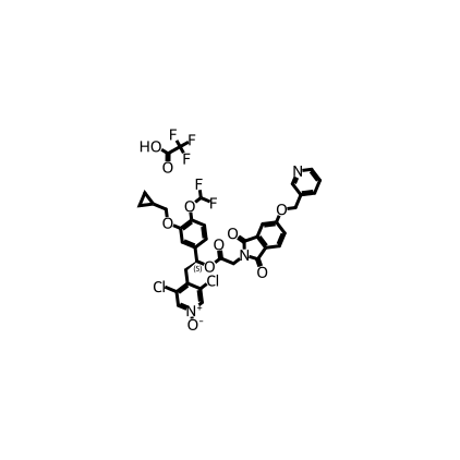 O=C(CN1C(=O)c2ccc(OCc3cccnc3)cc2C1=O)O[C@@H](Cc1c(Cl)c[n+]([O-])cc1Cl)c1ccc(OC(F)F)c(OCC2CC2)c1.O=C(O)C(F)(F)F